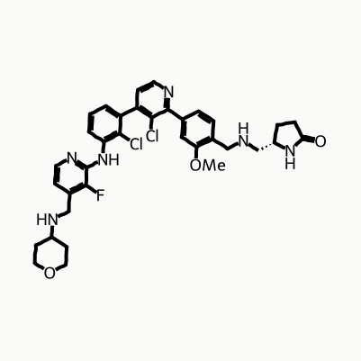 COc1cc(-c2nccc(-c3cccc(Nc4nccc(CNC5CCOCC5)c4F)c3Cl)c2Cl)ccc1CNC[C@@H]1CCC(=O)N1